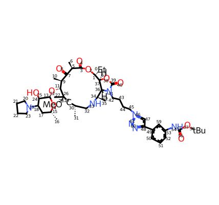 CC[C@H]1OC(=O)[C@H](C)C(=O)[C@H](C)[C@@H](O[C@@H]2O[C@H](C)CC(N3CCCC3)C2O)[C@](C)(OC)C[C@@H](C)CN[C@H](C)[C@@H]2[C@@H]1OC(=O)N2CCCCn1cc(-c2cccc(NC(=O)OC(C)(C)C)c2)nn1